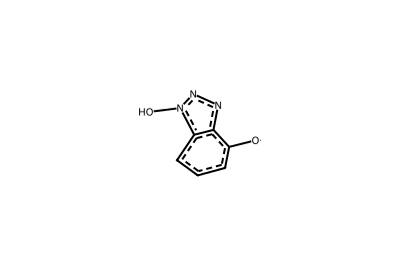 [O]c1cccc2c1nnn2O